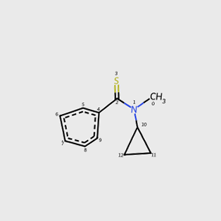 CN(C(=S)c1cc[c]cc1)C1CC1